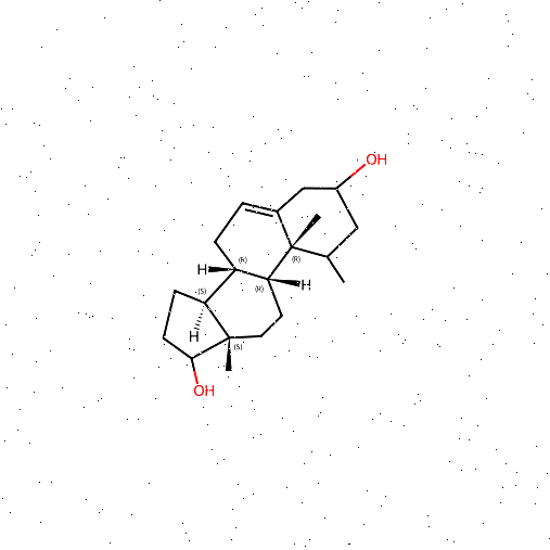 CC1CC(O)CC2=CC[C@@H]3[C@@H](CC[C@]4(C)C(O)CC[C@@H]34)[C@]21C